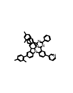 Cc1ccc(C2=CC3c4cc(-c5ccc(C)cc5C)ccc4N(c4ccc(-c5cccnc5)cc4-c4nc(-c5ccccc5)nc(-c5ccccc5)n4)C3C=C2)c(C)c1